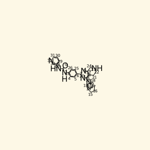 O=C(Nc1ccc(-c2nc3c(c(N4CC5CCC(C4)O5)n2)CCNC3)cc1)Nc1cccnc1